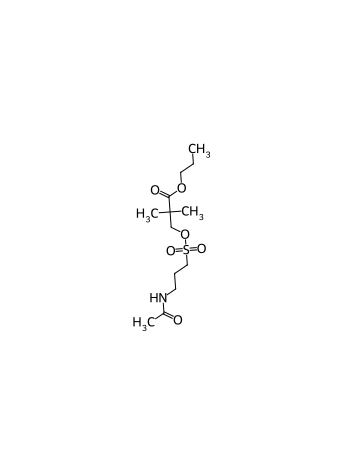 CCCOC(=O)C(C)(C)COS(=O)(=O)CCCNC(C)=O